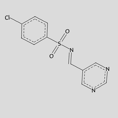 O=S(=O)(N=Cc1cncnc1)c1ccc(Cl)cc1